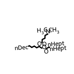 CCCCCCCCCCCCCCC(COC(=O)C(CCCCCCC)CCCCCCC)OC(=O)CCCCN(C)C